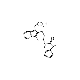 CC(C(=O)N(C)[C@@H]1CCc2c(CC(=O)O)c3ccccn3c2C1)c1ccccc1